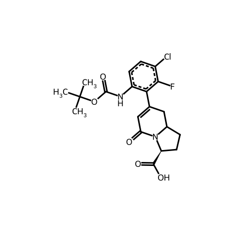 CC(C)(C)OC(=O)Nc1ccc(Cl)c(F)c1C1=CC(=O)N2C(CC[C@H]2C(=O)O)C1